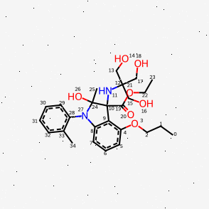 CCCOc1cccc2c1C(NC(CO)(CO)CO)(C(=O)OCC)C(C)(O)N2c1ccccc1C